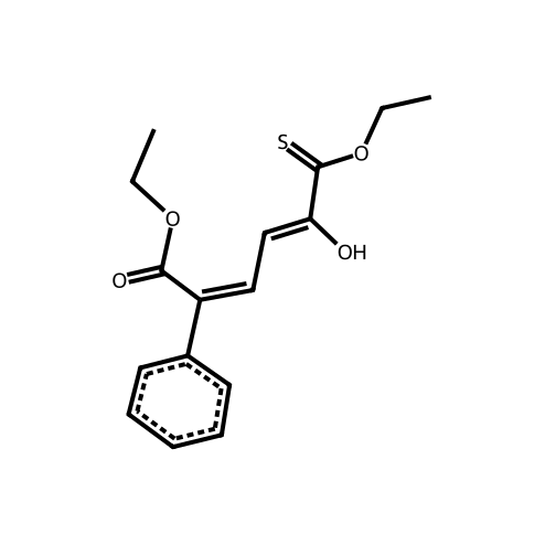 CCOC(=O)C(=CC=C(O)C(=S)OCC)c1ccccc1